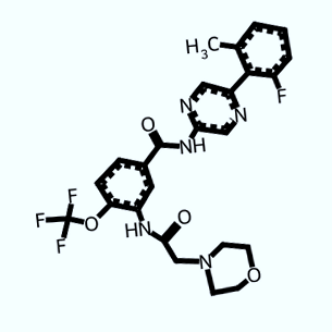 Cc1cccc(F)c1-c1cnc(NC(=O)c2ccc(OC(F)(F)F)c(NC(=O)CN3CCOCC3)c2)cn1